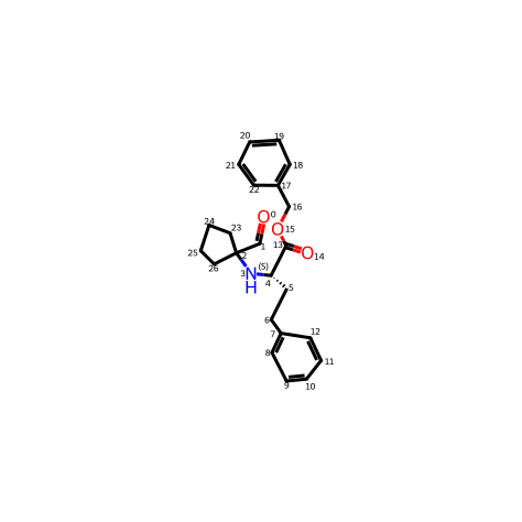 O=CC1(N[C@@H](CCc2ccccc2)C(=O)OCc2ccccc2)CCCC1